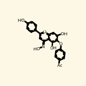 CC(=O)c1ccc(Oc2c(O)cc3oc(-c4ccc(O)cc4)c/c(=N\O)c3c2O)cc1